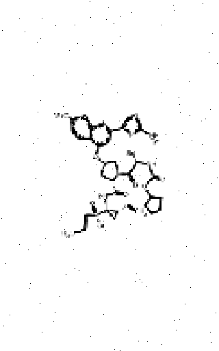 C=C[C@@H]1C[C@]1(NC(=O)[C@@H]1C[C@@H](Oc2cc(-c3csc(NC(C)C)n3)nc3cc(OC)ccc23)CN1C(=O)[C@@H](NC(=O)OC1CCCC1)C(C)(C)C)P(=O)(O)/C=C/C